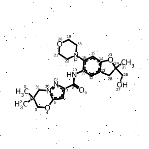 CC1(C)COc2cc(C(=O)Nc3cc4c(cc3N3CCOCC3)OC(C)(CO)C4)nn2C1